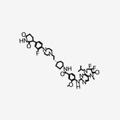 COc1cc(C(=O)N[C@H]2CC[C@@H](CCN3CCN(c4ccc(C5CCC(=O)NC5=O)cc4F)CC3)CC2)ccc1Nc1ncc2c(n1)N(C(C)C)CC(F)(F)C(=O)N2C